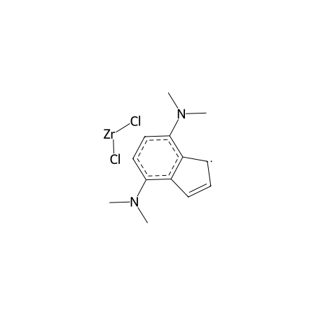 CN(C)c1ccc(N(C)C)c2c1[CH]C=C2.[Cl][Zr][Cl]